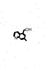 Cc1cc(CO)c2cccnc2c1